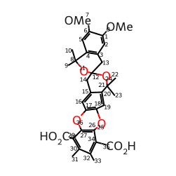 COc1cc2c(cc1OC)C(C)(C)OC1(C2)Cc2cc3c(cc2C(C)(C)O1)Oc1c(c(C(=O)O)c(C)c(C)c1C(=O)O)O3